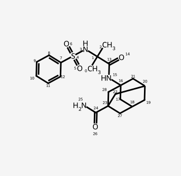 CC(C)(NS(=O)(=O)c1ccccc1)C(=O)NC12CC3CC(C1)CC(C(N)=O)(C3)C2